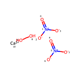 O=[N+]([O-])[O-].O=[N+]([O-])[O-].OO.[Ca+2]